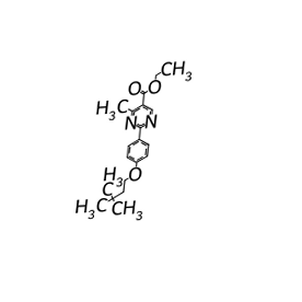 CCOC(=O)c1cnc(-c2ccc(OCCC(C)(C)C)cc2)nc1C